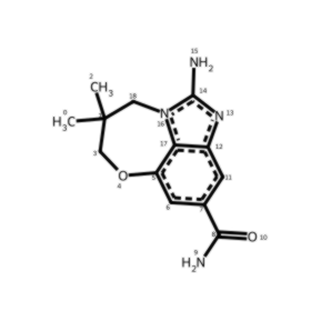 CC1(C)COc2cc(C(N)=O)cc3nc(N)n(c23)C1